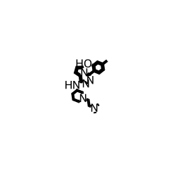 Cc1ccc(-c2nnc(N[C@@H]3CCCN(CCN(C)C)C3)c3cccn23)c(O)c1